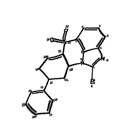 CCc1nc2cccc3c2n1C1CC(c2ccccc2)CC=C1S3(=O)=O